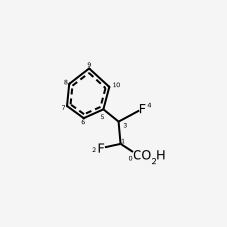 O=C(O)C(F)C(F)c1ccccc1